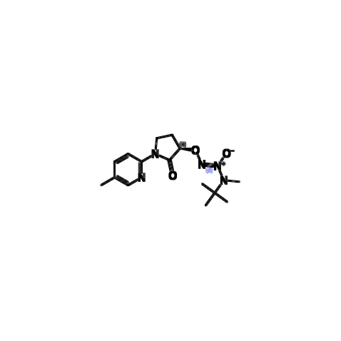 Cc1ccc(N2CC[C@@H](O/N=[N+](\[O-])N(C)C(C)(C)C)C2=O)nc1